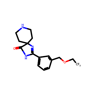 O=C1NC(c2cccc(COCC(F)(F)F)c2)=NC12CCNCC2